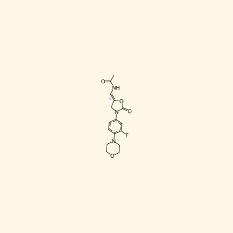 CC(=O)N/C=C1/CN(c2ccc(N3CCOCC3)c(F)c2)C(=O)O1